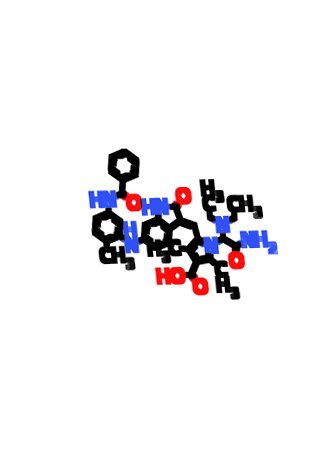 CCN(CC)C(C(N)=O)n1c(C)c(C(=O)O)c(C)c1C=C1C(=O)Nc2cc(Nc3cc(NC(=O)c4ccccc4)ccc3C)ccc21